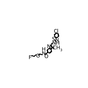 Cn1c(CNc2nc3ccc(Cl)cc3s2)nc2cc(C(=O)NCCOCCCF)ccc21